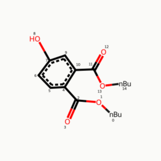 CCCCOC(=O)c1ccc(O)cc1C(=O)OCCCC